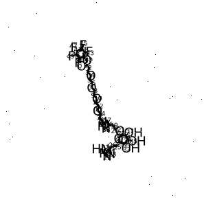 O=C(CCOCCOCCOCCOCCn1cc(CCO[C@H]2O[C@H](CCc3nnn[nH]3)[C@@H](O)[C@H](O)[C@@H]2O)nn1)Oc1c(F)c(F)c(F)c(F)c1F